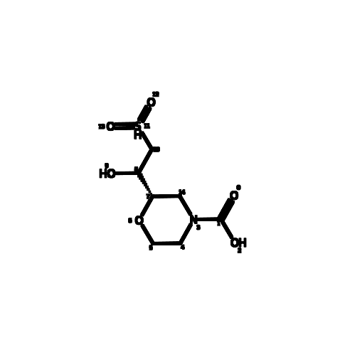 O=C(O)N1CCO[C@H](C(O)C[SH](=O)=O)C1